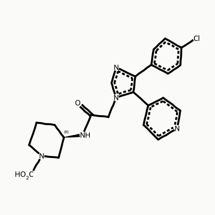 O=C(Cn1cnc(-c2ccc(Cl)cc2)c1-c1ccncc1)N[C@@H]1CCCN(C(=O)O)C1